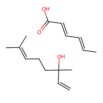 C/C=C/C=C/C(=O)O.C=CC(C)(O)CCC=C(C)C